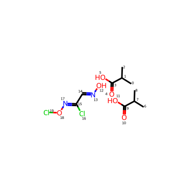 CC(C)C(=O)O.CC(C)C(=O)O.ON=CC(Cl)=NOCl